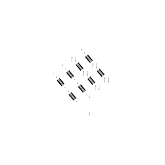 [N-]=[N+]=[N-].[N-]=[N+]=[N-].[N-]=[N+]=[N-].[N-]=[N+]=[N-].[Si+4]